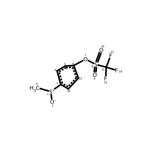 C[S+]([O-])c1ccc(OS(=O)(=O)C(F)(F)F)cc1